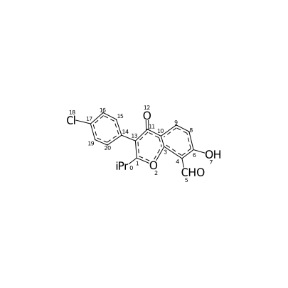 CC(C)c1oc2c(C=O)c(O)ccc2c(=O)c1-c1ccc(Cl)cc1